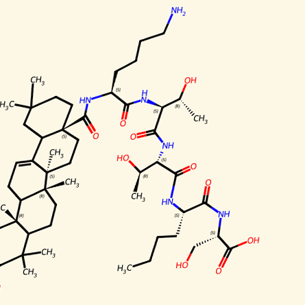 CCCC[C@H](NC(=O)[C@@H](NC(=O)[C@@H](NC(=O)[C@H](CCCCN)NC(=O)[C@]12CCC(C)(C)CC1C1=CCC3[C@@]4(C)CC[C@H](O)C(C)(C)C4CC[C@@]3(C)[C@]1(C)CC2)[C@@H](C)O)[C@@H](C)O)C(=O)N[C@@H](CO)C(=O)O